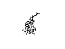 CC1(C)C(N)=N[C@](C)(c2cc(Nc3nccc4cc(OCC5CC5)cnc34)ccc2F)CS1(O)O